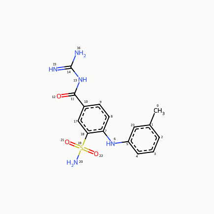 Cc1cccc(Nc2ccc(C(=O)NC(=N)N)cc2S(N)(=O)=O)c1